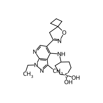 CCn1nc(C)c2c(NC3CCS(O)(O)CC3)c(C3=NOC4(CCC4)C3)cnc21